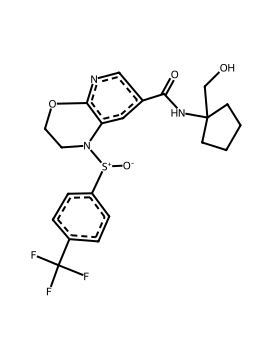 O=C(NC1(CO)CCCC1)c1cnc2c(c1)N([S+]([O-])c1ccc(C(F)(F)F)cc1)CCO2